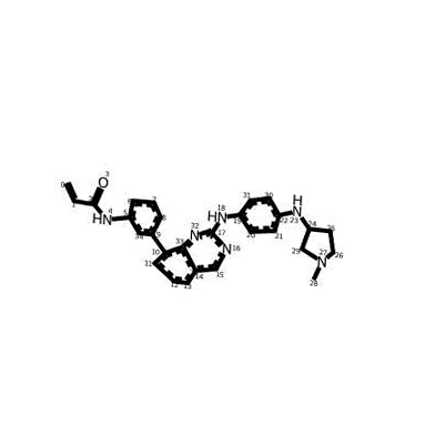 C=CC(=O)Nc1cccc(-c2cccc3cnc(Nc4ccc(NC5CCN(C)C5)cc4)nc23)c1